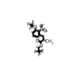 C[C@@H](Cc1cccc(OC(F)(F)F)c1[N+](=O)[O-])C(=O)OCC(F)(F)F